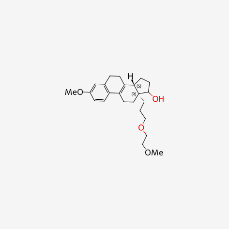 COCCOCCC[C@]12CCC3=C(CCc4cc(OC)ccc43)[C@@H]1CCC2O